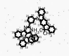 CC1(C)c2ccccc2-c2cc3c4ccccc4n(-c4cccc(-c5nc(-c6ccccc6)c6c(n5)-c5ccccc5[Si]6(c5ccccc5)c5ccccc5)c4)c3cc21